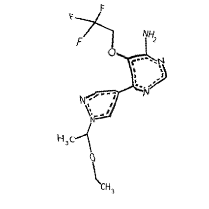 CCOC(C)n1cc(-c2ncnc(N)c2OCC(F)(F)F)cn1